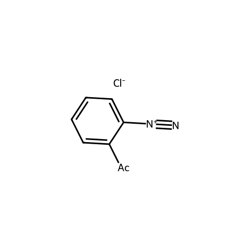 CC(=O)c1ccccc1[N+]#N.[Cl-]